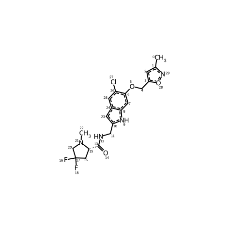 Cc1cc(COc2cc3[nH]c(CNC(=O)[C@@H]4CC(F)(F)CN4C)cc3cc2Cl)on1